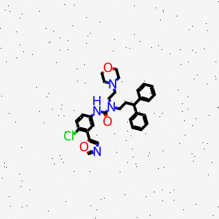 O=C(Nc1ccc(Cl)c(-c2cnco2)c1)N(CCC(c1ccccc1)c1ccccc1)CCN1CCOCC1